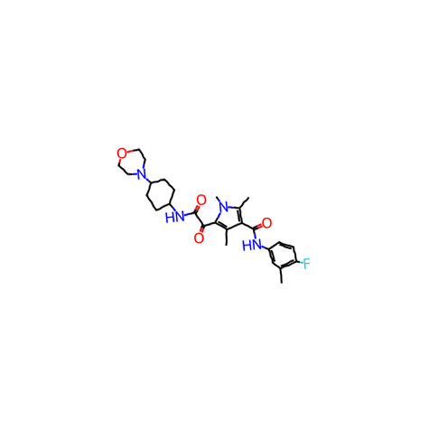 Cc1cc(NC(=O)c2c(C)c(C(=O)C(=O)NC3CCC(N4CCOCC4)CC3)n(C)c2C)ccc1F